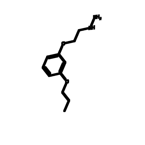 CCCOc1cccc(OCCNN)c1